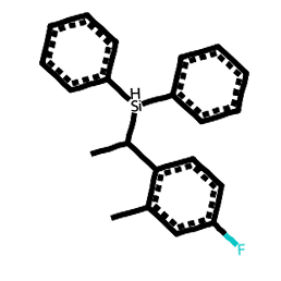 Cc1cc(F)ccc1C(C)[SiH](c1ccccc1)c1ccccc1